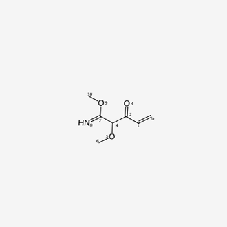 C=CC(=O)C(OC)C(=N)OC